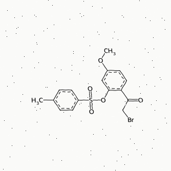 COc1ccc(C(=O)CBr)c(OS(=O)(=O)c2ccc(C)cc2)c1